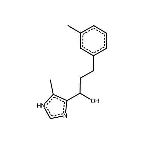 Cc1cccc(CCC(O)c2nc[nH]c2C)c1